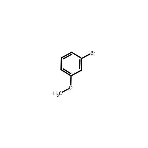 [CH2]Oc1cccc(Br)c1